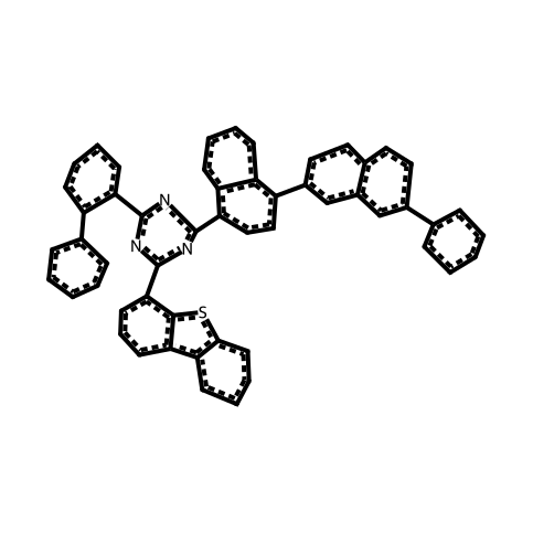 c1ccc(-c2ccc3ccc(-c4ccc(-c5nc(-c6ccccc6-c6ccccc6)nc(-c6cccc7c6sc6ccccc67)n5)c5ccccc45)cc3c2)cc1